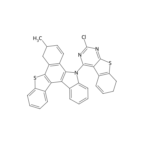 CC1C=Cc2c(c3sc4ccccc4c3c3c4ccccc4n(-c4nc(Cl)nc5sc6c(c45)C=CCC6)c23)C1